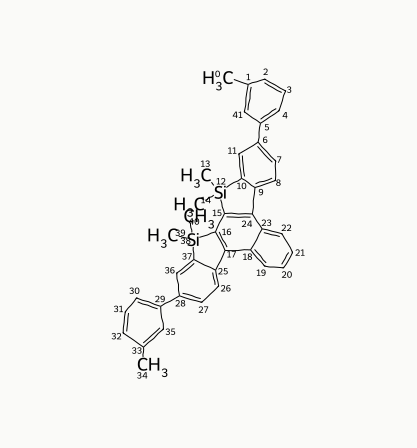 Cc1cccc(-c2ccc3c(c2)[Si](C)(C)c2c4c(c5ccccc5c2-3)-c2ccc(-c3cccc(C)c3)cc2[Si]4(C)C)c1